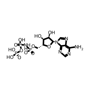 Nc1ncnc2c1ncn2[C@@H]1O[C@H](COP(=O)(O)NP(=O)(O)OP(=O)(O)O)[C@@H](O)[C@H]1O